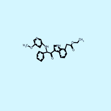 CCOC(=O)Cc1cccc2c(C(=O)C(Nc3cncc(OC)c3)c3ccccc3)c[nH]c12